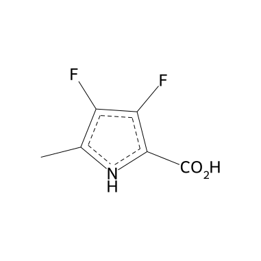 Cc1[nH]c(C(=O)O)c(F)c1F